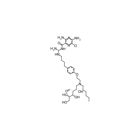 CCCCCCN(CCOc1ccc(CCCCNC(N)NC(=O)c2nc(Cl)c(N)nc2N)cc1)C[C@H](O)[C@@H](C=O)[C@@H](O)[C@H](O)CO